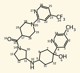 Cc1ccc(C2(O)CCC(NC3CCN(C(=O)C4CCN(c5cc(C(F)(F)F)ccn5)CC4)C3)CC2)nc1